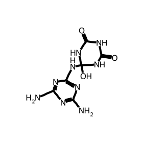 Nc1nc(N)nc(NC2(O)NC(=O)NC(=O)N2)n1